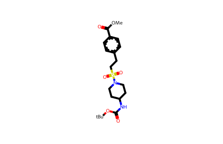 COC(=O)c1ccc(CCS(=O)(=O)N2CCC(NC(=O)OC(C)(C)C)CC2)cc1